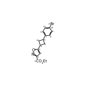 CCOC(=O)c1cc(C2CC(c3ccc(Br)cc3)C2)on1